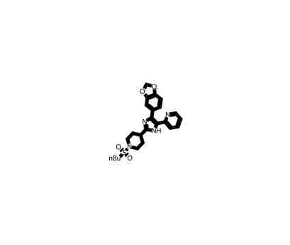 CCCCS(=O)(=O)N1CCC(c2nc(-c3ccc4c(c3)OCO4)c(-c3ccccn3)[nH]2)CC1